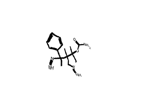 CC(C)(OC(N)=O)C(C)(CN=N)C(C)(N=N)c1ccccc1